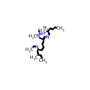 C=C/C=C/C(C)\C=N/C=C(\C=C\C=C/C(C=C(C)/C=C\C)/N=C\C)CN(C)NCC